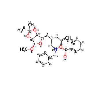 C=CC[C@@H](C[C@H]1O[C@@H](OC)C2OC(C)(C)OC21)CN(Cc1ccccc1)OC(=O)c1ccccc1